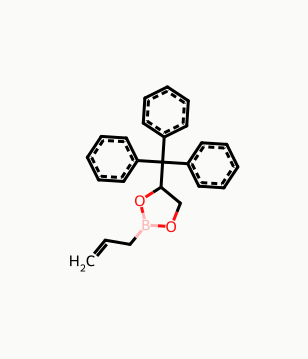 C=CCB1OCC(C(c2ccccc2)(c2ccccc2)c2ccccc2)O1